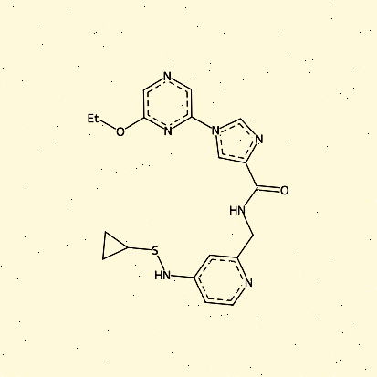 CCOc1cncc(-n2cnc(C(=O)NCc3cc(NSC4CC4)ccn3)c2)n1